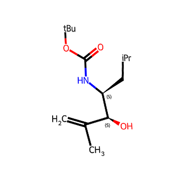 C=C(C)[C@H](O)[C@H](CC(C)C)NC(=O)OC(C)(C)C